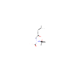 CC(C)=CC1CN(C(=O)O)C(C)(C)O1